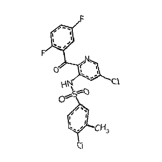 Cc1cc(S(=O)(=O)Nc2cc(Cl)cnc2C(=O)c2cc(F)ccc2F)ccc1Cl